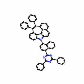 c1ccc(C2=C(c3ccccc3)c3cccc4c3c3c5c2cccc5ccc3n4-c2ccc(-c3nc(-c4ccccc4)nc(-c4ccccc4)n3)c3ccccc23)cc1